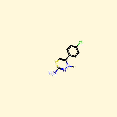 CN1N=C(N)SC=C1c1ccc(Cl)cc1